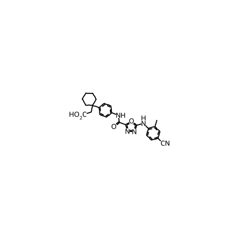 Cc1cc(C#N)ccc1Nc1nnc(C(=O)Nc2ccc(C3(CC(=O)O)CCCCC3)cc2)o1